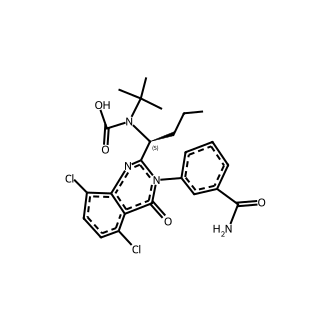 CCC[C@@H](c1nc2c(Cl)ccc(Cl)c2c(=O)n1-c1cccc(C(N)=O)c1)N(C(=O)O)C(C)(C)C